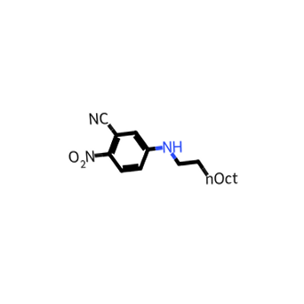 CCCCCCCCCCNc1ccc([N+](=O)[O-])c(C#N)c1